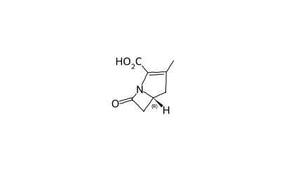 CC1=C(C(=O)O)N2C(=O)C[C@H]2C1